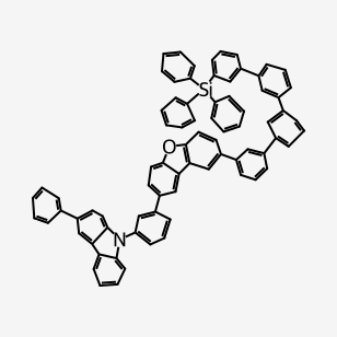 c1ccc(-c2ccc3c(c2)c2ccccc2n3-c2cccc(-c3ccc4oc5ccc(-c6cccc(-c7cccc(-c8cccc(-c9cccc([Si](c%10ccccc%10)(c%10ccccc%10)c%10ccccc%10)c9)c8)c7)c6)cc5c4c3)c2)cc1